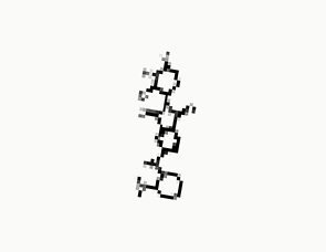 CN(C)C1CCCCC1N(C)c1ccc2c(c1)C(=O)N(C1CCC(=O)NC1=O)C2=O